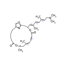 CC(/C=C/C(C)=C/C1Cc2nc(co2)CCCCC(=O)O[C@@H](C)C/C(C)=C/C=C\C(=O)O1)=C\CN(C)C